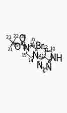 C[C@@H]1CN(c2ncnc3[nH]cc(Br)c23)CCN1C(=O)OC(C)(C)C